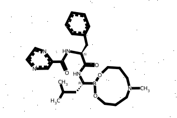 CC(C)C[C@H](NC(=O)[C@H](Cc1ccccc1)NC(=O)c1cnccn1)B1OCCCN(C)CCCO1